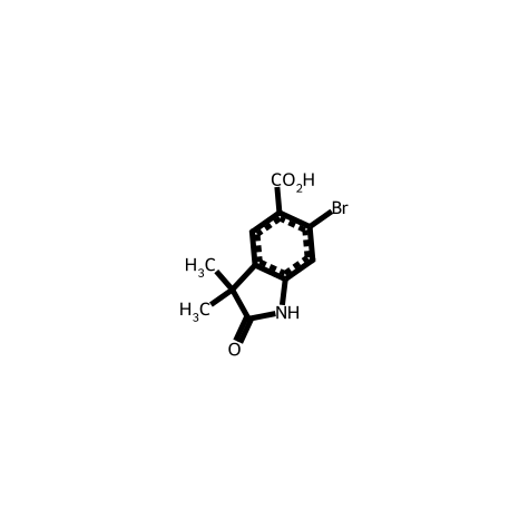 CC1(C)C(=O)Nc2cc(Br)c(C(=O)O)cc21